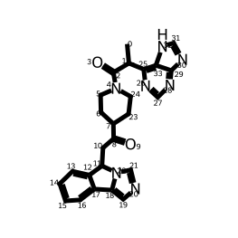 C[C](C(=O)N1CCC(C(=O)CC2c3ccccc3-c3cncn32)CC1)c1ncnc2nc[nH]c12